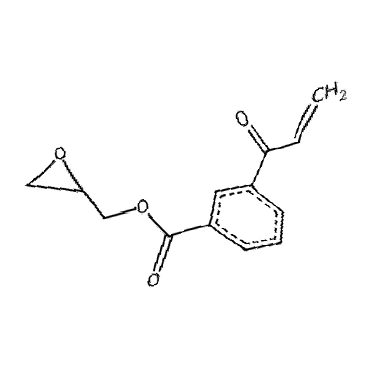 C=CC(=O)c1cccc(C(=O)OCC2CO2)c1